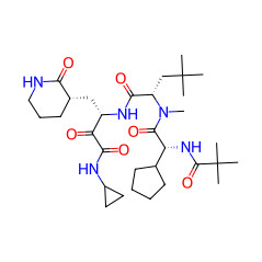 CN(C(=O)[C@H](NC(=O)C(C)(C)C)C1CCCC1)[C@@H](CC(C)(C)C)C(=O)N[C@@H](C[C@@H]1CCCNC1=O)C(=O)C(=O)NC1CC1